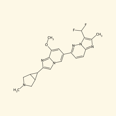 COc1cc(-c2ccc3nc(C)c(C(F)F)n3n2)cn2cc(C3C4CN(C)CC43)nc12